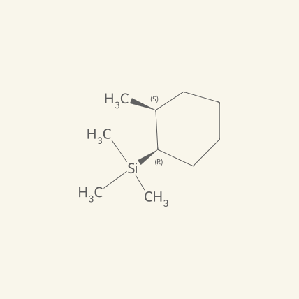 C[C@H]1CCCC[C@H]1[Si](C)(C)C